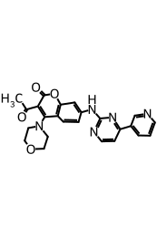 CC(=O)c1c(N2CCOCC2)c2ccc(Nc3nccc(-c4cccnc4)n3)cc2oc1=O